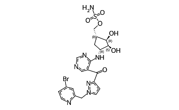 NS(=O)(=O)OC[C@H]1C[C@@H](Nc2ncncc2C(=O)c2ccn(Cc3cc(Br)ccn3)n2)[C@H](O)[C@@H]1O